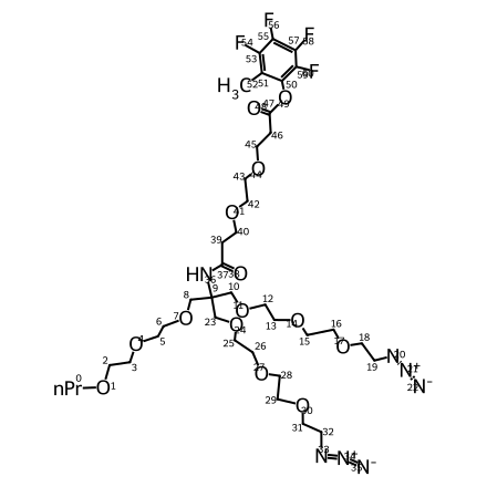 CCCOCCOCCOCC(COCCOCCOCCN=[N+]=[N-])(COCCOCCOCCN=[N+]=[N-])NC(=O)CCOCCOCCC(=O)Oc1c(C)c(F)c(F)c(F)c1F